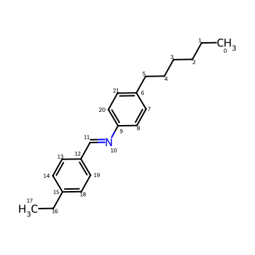 CCCCCCc1ccc(N=Cc2ccc(CC)cc2)cc1